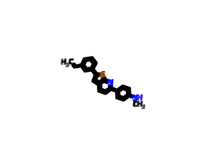 CCc1cccc(-c2cc3ccc(-c4ccc(NC)cc4)nc3s2)c1